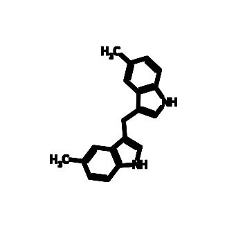 Cc1ccc2[nH]cc(Cc3c[nH]c4ccc(C)cc34)c2c1